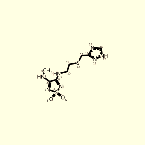 CNC1=NS(=O)(=O)N=C1NCCSCc1nc[nH]n1